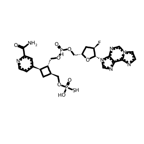 NC(=O)c1cc([C@@H]2C[C@H](COP(=O)(O)S)[C@H]2CO[PH](=O)OC[C@@H]2C[C@@H](F)[C@H](n3cnc4c3ncn3ccnc43)O2)ccn1